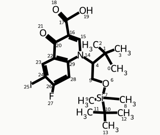 CC(C)(C)C(CO[Si](C)(C)C(C)(C)C)n1cc(C(=O)O)c(=O)c2cc(I)c(F)cc21